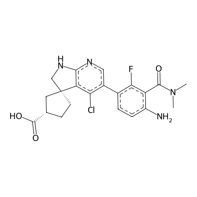 CN(C)C(=O)c1c(N)ccc(-c2cnc3c(c2Cl)[C@]2(CC[C@H](C(=O)O)C2)CN3)c1F